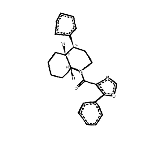 O=C(c1ncoc1-c1ccccc1)N1CC[C@H](c2ccccc2)[C@H]2CCCC[C@H]21